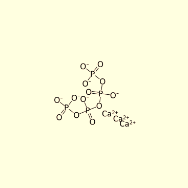 O=P([O-])([O-])OP(=O)([O-])OP(=O)([O-])OP(=O)([O-])[O-].[Ca+2].[Ca+2].[Ca+2]